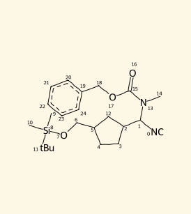 [C-]#[N+]C(C1CCC(CO[Si](C)(C)C(C)(C)C)C1)N(C)C(=O)OCc1ccccc1